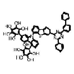 Oc1c(O)c(O)c(-c2ccc3c4c(-c5c(O)c(O)c(O)c(O)c5O)cccc4n(-c4cccc5c4sc4cc(-c6nc(-c7ccccc7)nc(-c7cccc(-c8ccccc8)c7)n6)ccc45)c3c2)c(O)c1O